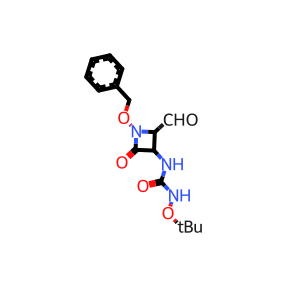 CC(C)(C)ONC(=O)NC1C(=O)N(OCc2ccccc2)C1C=O